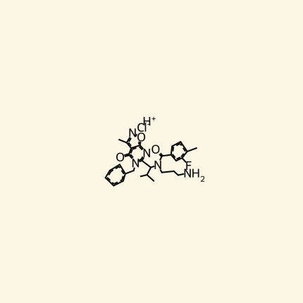 Cc1ccc(C(=O)N(CCCN)C(c2nc3onc(C)c3c(=O)n2Cc2ccccc2)C(C)C)cc1F.[Cl-].[H+]